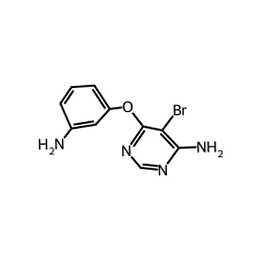 Nc1cccc(Oc2ncnc(N)c2Br)c1